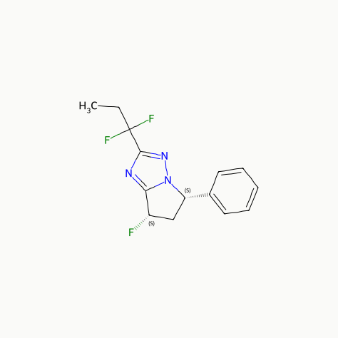 CCC(F)(F)c1nc2n(n1)[C@H](c1ccccc1)C[C@@H]2F